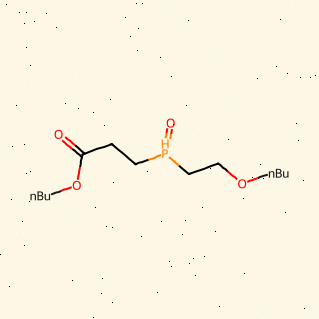 CCCCOCC[PH](=O)CCC(=O)OCCCC